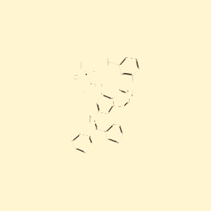 C[C@H](Oc1cc(N=C(c2ccccc2)c2ccccc2)cc2ccnc(Oc3c(F)cccc3Cl)c12)C(F)(F)F